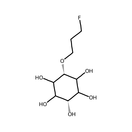 OC1C(O)[C@H](OCCCF)C(O)C(O)[C@@H]1O